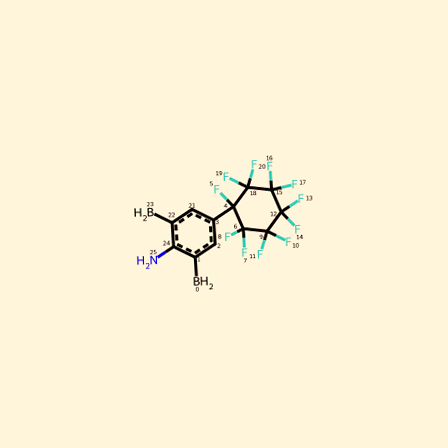 Bc1cc(C2(F)C(F)(F)C(F)(F)C(F)(F)C(F)(F)C2(F)F)cc(B)c1N